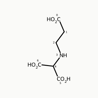 O=C(O)CCNC(C(=O)O)C(=O)O